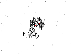 Nc1c(C2CC2)c([C@H]2C[C@H]3CC[C@@H](C2)N3C(=O)CO)nc2c(-c3ccc(C(N)(C(F)(F)F)C(F)(F)F)nc3)cnn12